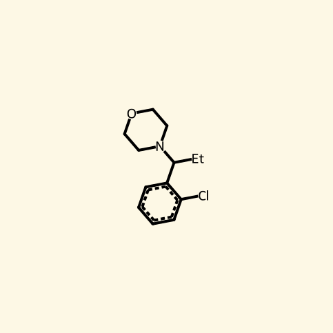 CCC(c1ccccc1Cl)N1CCOCC1